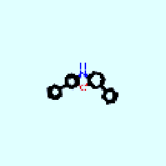 C1=C2Nc3ccc(-c4ccccc4)cc3OC2=CC(c2ccccc2)=CC1